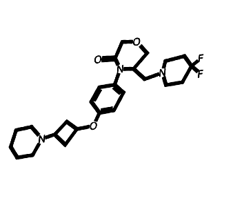 O=C1COCC(CN2CCC(F)(F)CC2)N1c1ccc(OC2CC(N3CCCCC3)C2)cc1